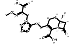 CON=C(Cn1nnnc1SCC1=C(C(=O)O)N2C(=O)C[C@@H]2SC1)C(=O)O